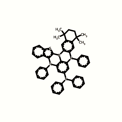 CC1(C)CCC(C)(C)c2cc3c(cc21)B1c2sc4ccccc4c2N(c2ccccc2)c2cc(N(c4ccccc4)c4ccccc4)cc(c21)N3c1ccccc1